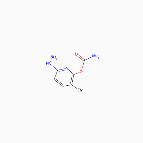 N#Cc1ccc(NN)nc1OC(N)=O